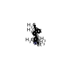 C=CCOC(C)(c1ccccc1)c1cccc(Oc2cc(C)c(/N=C\N(C)CC)cc2C)c1